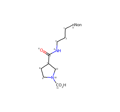 CCCCCCCCCCCCNC(=O)C1CCN(C(=O)O)C1